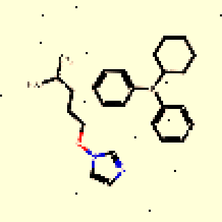 CC(C)CCCOn1ccnc1.c1ccc(B(c2ccccc2)C2CCCCC2)cc1